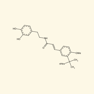 CCCCCCC(C)(C)c1cc(/C=C/C(=O)NCCc2ccc(O)c(O)c2)ccc1OC